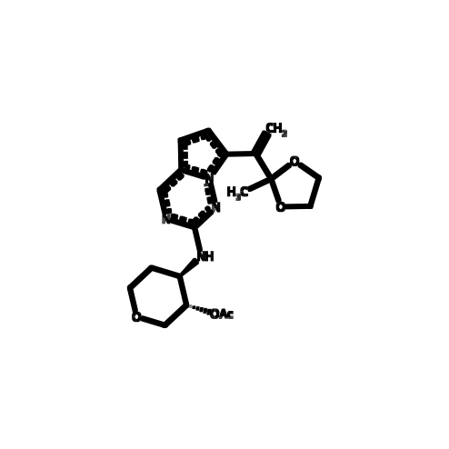 C=C(c1ccc2cnc(N[C@@H]3CCOC[C@H]3OC(C)=O)nn12)C1(C)OCCO1